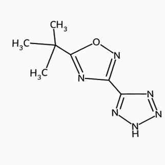 CC(C)(C)c1nc(-c2nn[nH]n2)no1